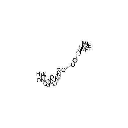 CCCC(C(=O)NC=O)N1C(=O)c2cccc(N3CCN(C(=O)COCCCCOc4ccc(C5CCN(C6=Nn7c(nnc7C(F)(F)F)CC6)CC5)cc4)CC3)c2C1=O